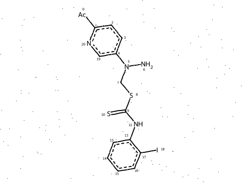 CC(=O)c1ccc(N(N)CSC(=S)Nc2ccccc2I)cn1